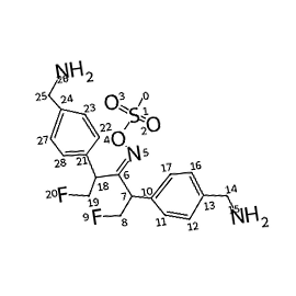 CS(=O)(=O)ON=C(C(CF)c1ccc(CN)cc1)C(CF)c1ccc(CN)cc1